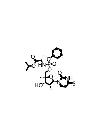 CC(C)OC(=O)[C@H](C)NP(=O)(OC[C@@]1(C)O[C@@H](n2ccc(=S)[nH]c2=O)[C@@H](F)[C@H]1O)Oc1ccccc1